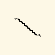 [CH2]CCC=CCCCCCCCCCCCC=C